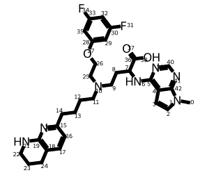 Cn1ccc2c(NC(CCN(CCCCc3ccc4c(n3)NCCC4)CCOc3cc(F)cc(F)c3)C(=O)O)ncnc21